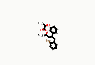 CNC(CC(Cc1ccccc1Br)c1ccccc1)OC(=O)C(C)O